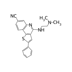 CN(C)CCNc1nc2cc(C#N)ccc2c2sc(-c3ccccc3)cc12